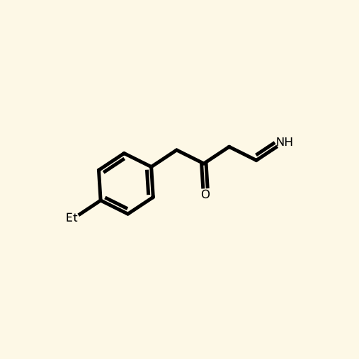 CCc1ccc(CC(=O)CC=N)cc1